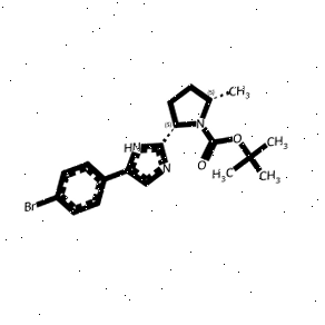 C[C@H]1CC[C@@H](c2ncc(-c3ccc(Br)cc3)[nH]2)N1C(=O)OC(C)(C)C